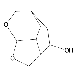 OC1CC2COC3OCC1C3C2